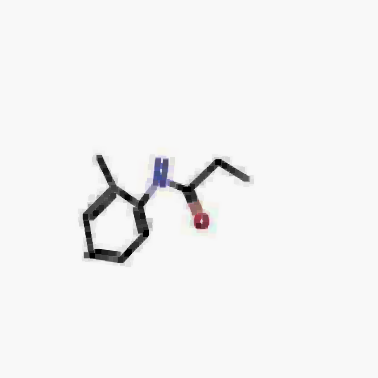 CCC(=O)Nc1cc[c]cc1C